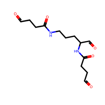 O=CCCC(=O)NCCCC(C=O)NC(=O)CCC=O